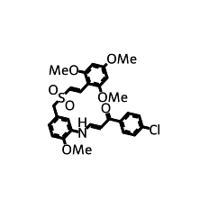 COc1cc(OC)c(C=CS(=O)(=O)Cc2ccc(OC)c(NC=CC(=O)c3ccc(Cl)cc3)c2)c(OC)c1